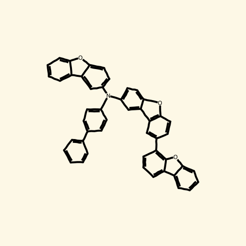 c1ccc(-c2ccc(N(c3ccc4oc5ccccc5c4c3)c3ccc4oc5ccc(-c6cccc7c6oc6ccccc67)cc5c4c3)cc2)cc1